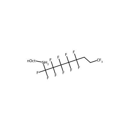 CCCCCCCC[SiH2]C(F)(F)C(F)(F)C(F)(F)C(F)(F)C(F)(F)CCC(F)(F)F